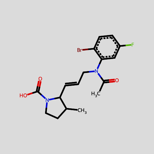 CC(=O)N(CC=CC1C(C)CCN1C(=O)O)c1cc(F)ccc1Br